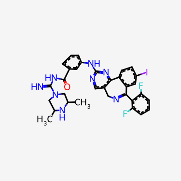 CC1CN(C(=N)NC(=O)c2cccc(Nc3ncc4c(n3)-c3ccc(I)cc3C(c3c(F)cccc3F)=NC4)c2)CC(C)N1